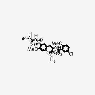 COc1ccc(Cl)cc1C(=O)NC1Cc2cc(S(=O)(=O)NC(=S)NC(C)C)c(OC)cc2OC1(C)C